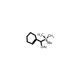 CC(=O)OC(C1=CCCCC1)[Si](C)(C)C(C)(C)C